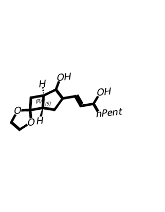 CCCCCC(O)C=CC1C[C@H]2[C@@H](CC23OCCO3)C1O